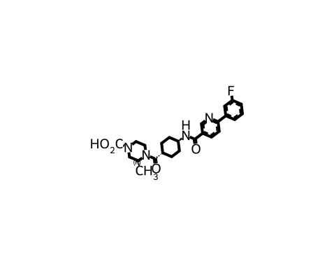 C[C@@H]1CN(C(=O)O)CCN1C(=O)[C@H]1CC[C@H](NC(=O)c2ccc(-c3cccc(F)c3)nc2)CC1